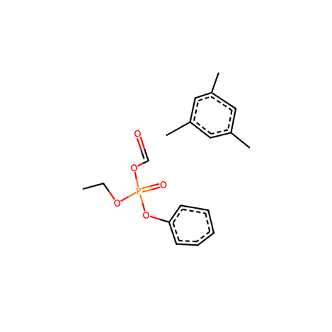 CCOP(=O)(OC=O)Oc1ccccc1.Cc1cc(C)cc(C)c1